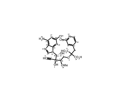 C#C[C@@](O)([C@@H](COC(Cc1ccnc(Cl)c1)(C(=O)O)C(=O)O)OC)[C@@H](O)n1cnc2c(N)nc(Cl)nc21